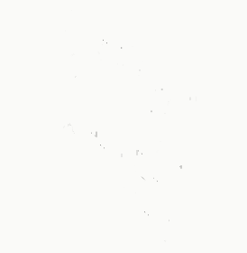 C=CC(=O)N1CC[C@@](O)(C(=O)N(C)[C@H](C(=O)N[C@H]2Cc3cc(O)cc(c3)-c3ccc4c(c3)c(c(-c3cccc5c3COC5)n4CC)CC(C)(C)COC(=O)[C@@H]3CCCN(N3)C2=O)C(C)C)C1